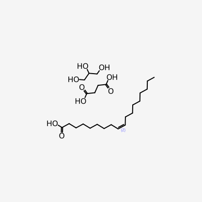 CCCCCCCC/C=C\CCCCCCCC(=O)O.O=C(O)CCC(=O)O.OCC(O)CO